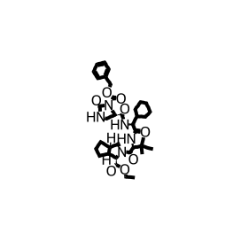 CCOC(=O)[C@@H]1[C@H]2CCC[C@H]2CN1C(=O)[C@@H](NC(=O)[C@@H](NC(=O)[C@@H]1CNC(=O)N1C(=O)OCc1ccccc1)C1CCCCC1)C(C)(C)C